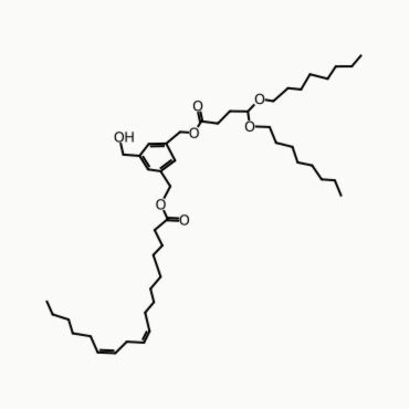 CCCCC/C=C\C/C=C\CCCCCCCC(=O)OCc1cc(CO)cc(COC(=O)CCC(OCCCCCCCC)OCCCCCCCC)c1